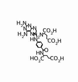 N[C@@H](CCC(=O)O)C(=O)O.Nc1nc(N)c2nc(CNc3ccc(C(=O)NC(CCC(=O)O)C(=O)O)cc3)cnc2n1